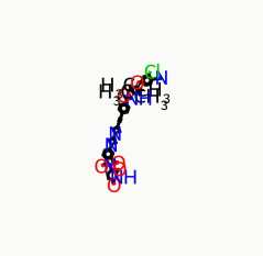 CC1(C)[C@H](NC(=O)c2ccc(C#CC3CN(C4CN(c5ccc6c(c5)C(=O)N(C5CCC(=O)NC5=O)C6=O)C4)C3)cc2)C(C)(C)[C@H]1Oc1ccc(C#N)c(Cl)c1